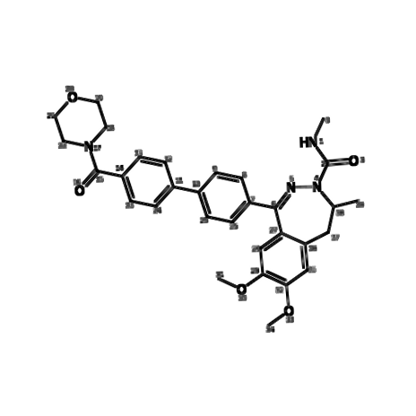 CNC(=O)N1N=C(c2ccc(-c3ccc(C(=O)N4CCOCC4)cc3)cc2)c2cc(OC)c(OC)cc2CC1C